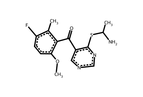 COc1ccc(F)c(C)c1C(=O)c1cncnc1SC(C)N